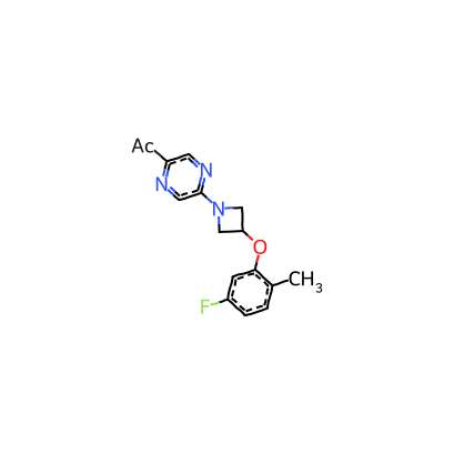 CC(=O)c1cnc(N2CC(Oc3cc(F)ccc3C)C2)cn1